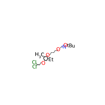 CCc1cc(OCC=C(Cl)Cl)cc(C)c1OCCCCCOC/C=N/OC(C)(C)C